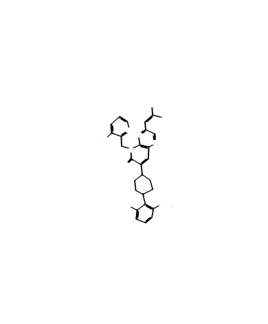 Cc1cccc(F)c1C1CCC(c2cc3ncc(C=C(F)F)nc3n(Cc3ncccc3C(F)(F)F)c2=O)CC1